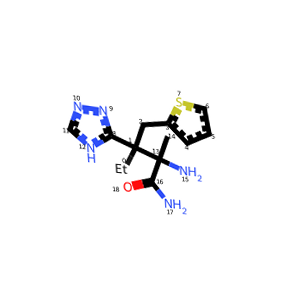 CCC(Cc1cccs1)(c1nnc[nH]1)C(C)(N)C(N)=O